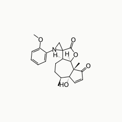 COc1ccccc1N1CC12C(=O)O[C@@H]1[C@H]2CC[C@H](C)[C@]2(O)C=CC(=O)[C@@]12C